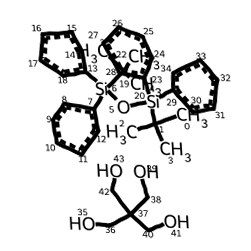 CC(C)(C)[Si](O[Si](c1ccccc1)(c1ccccc1)C(C)(C)C)(c1ccccc1)c1ccccc1.OCC(CO)(CO)CO